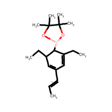 C/C=C/C1=CC(CC)C(B2OC(C)(C)C(C)(C)O2)C(CC)=C1